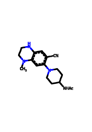 CC(=O)NC1CCN(c2cc3c(cc2C#N)NCCN3C)CC1